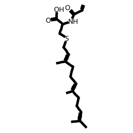 C=CC(=O)NC(CSC/C=C(\C)CC/C=C(\C)CCC=C(C)C)C(=O)O